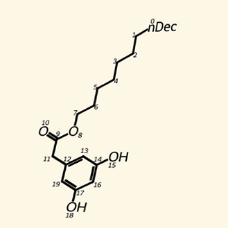 CCCCCCCCCCCCCCCCCOC(=O)Cc1cc(O)cc(O)c1